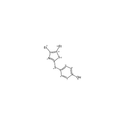 CCc1nc(Sc2ccc(O)cc2)sc1CC